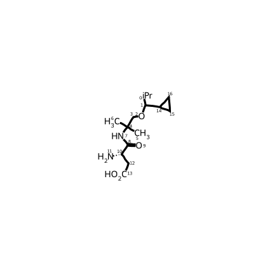 CC(C)C(OCC(C)(C)NC(=O)[C@@H](N)CC(=O)O)C1CC1